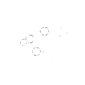 CN1CCN(c2ccc(Nc3nc(-c4cccc(CC#N)c4)c4cc[nH]c4n3)cc2F)CC1